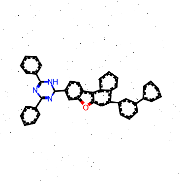 c1ccc(C2=NC(c3ccc4c(c3)oc3cc(-c5cccc(-c6ccccc6)c5)c5ccccc5c34)NC(c3ccccc3)=N2)cc1